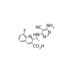 CC(Nc1ncnc(N)c1C#N)c1nc2c(F)cccc2cc1C(=O)O